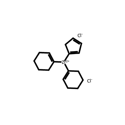 C1=CC[C]([Zr+2]([C]2=CCCCC2)[C]2=CCCCC2)=C1.[Cl-].[Cl-]